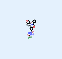 CC1(C(=O)N2Cc3ccc(C(=O)NNC(=O)C(F)F)cc3OC[C@@H]2c2ccccc2)CCOCC1